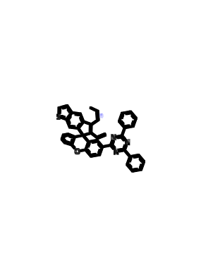 C=CC1=C(/C=C\C)c2cc3ccsc3cc2C12c1ccccc1Oc1ccc(-c3nc(-c4ccccc4)nc(-c4ccccc4)n3)cc12